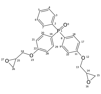 O=P(c1ccccc1)(c1ccc(OCC2CO2)cc1)c1ccc(OCC2CO2)cc1